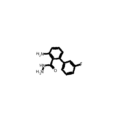 NNC(=O)c1c(N)cccc1-c1cccc(F)c1